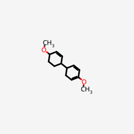 COC1=CCC(C2C=CC(OC)CC2)C=C1